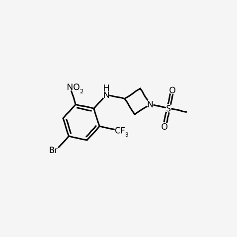 CS(=O)(=O)N1CC(Nc2c([N+](=O)[O-])cc(Br)cc2C(F)(F)F)C1